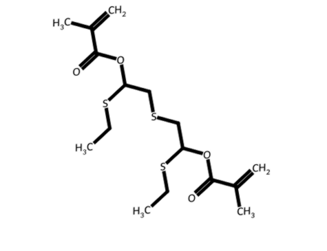 C=C(C)C(=O)OC(CSCC(OC(=O)C(=C)C)SCC)SCC